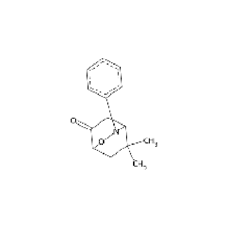 CC1(C)CC2ON(c3ccccc3)C1CC2=O